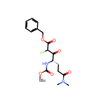 CN(C)C(=O)CC[C@H](NC(=O)OC(C)(C)C)C(=O)C(F)C(=O)OCc1ccccc1